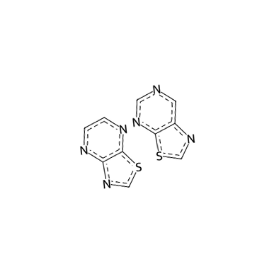 c1cnc2scnc2n1.c1ncc2ncsc2n1